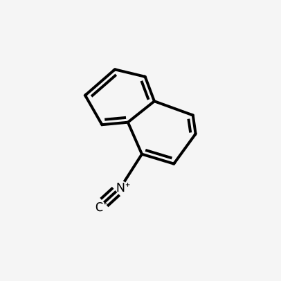 [C-]#[N+]c1cccc2ccccc12